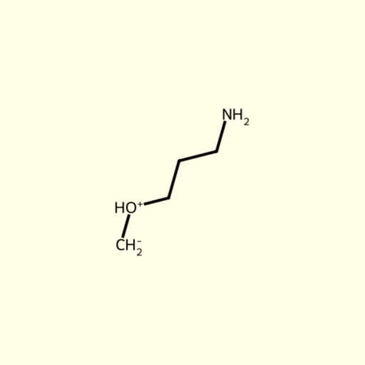 [CH2-][OH+]CCCN